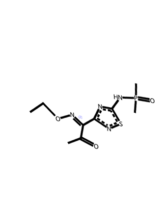 CCO/N=C(\C(C)=O)c1nsc(NP(C)(C)=O)n1